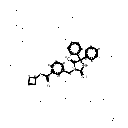 N=C1NC(c2ccccc2)(c2ccccc2)C(=O)N1Cc1cccc(C(=O)NC2CCC2)c1